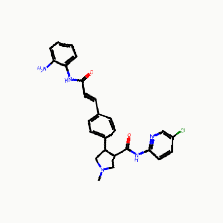 CN1CC(C(=O)Nc2ccc(Cl)cn2)C(c2ccc(/C=C/C(=O)Nc3ccccc3N)cc2)C1